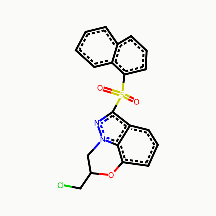 O=S(=O)(c1cccc2ccccc12)c1nn2c3c(cccc13)OC(CCl)C2